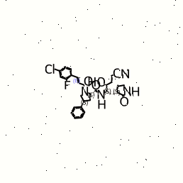 N#CCCC(O)[C@H](C[C@@H]1CCNC1=O)NC(=O)[C@@H]1C[C@@H](c2ccccc2)CN1C(=O)/C=C/c1ccc(Cl)cc1F